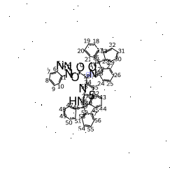 O=C(On1nnc2ccccc21)/C(=N\OC(c1ccccc1)(c1ccccc1)c1ccccc1)c1csc(NC(c2ccccc2)(c2ccccc2)c2ccccc2)n1